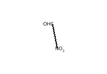 O=[C]CCCC=CCC=CCC=CCC=CCC=CCC[N+](=O)[O-]